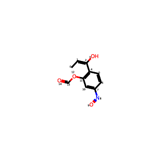 C/C=C(/O)c1ccc(N=O)cc1OC=O